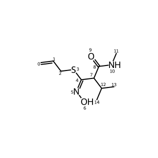 C=CCSC(=NO)C(C(=O)NC)C(C)C